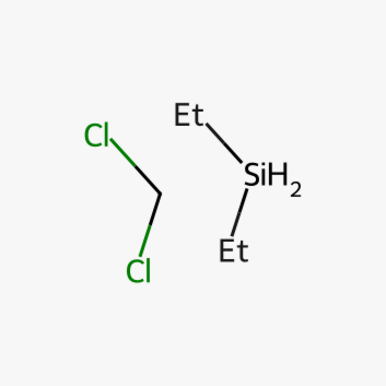 CC[SiH2]CC.ClCCl